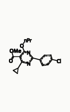 CCCOc1nc(-c2ccc(Cl)cc2)nc(C2CC2)c1C(=O)OC